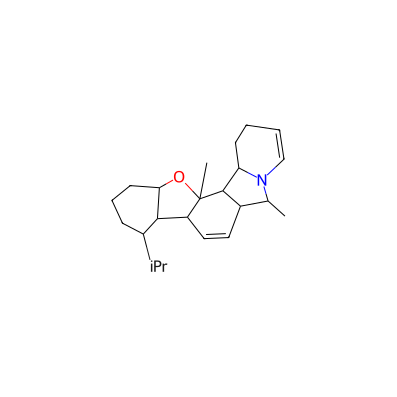 CC(C)C1CCCC2OC3(C)C(C=CC4C(C)N5C=CCCC5C43)C21